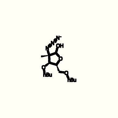 CCCCOC[C@H]1OC(O)[C@](C)(N=[N+]=[N-])[C@@H]1OCCCC